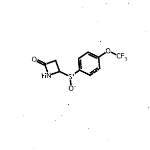 O=C1CC([S+]([O-])c2ccc(OC(F)(F)F)cc2)N1